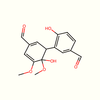 COC1=CC(C=O)=CC(c2cc(C=O)ccc2O)C1(O)OC